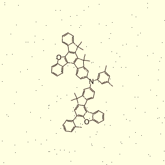 Cc1cc(C)cc(N(c2ccc3c(c2)C(C)(C)c2cc(-c4ccccc4C)c4oc5ccccc5c4c2-3)c2ccc3c(c2)C(C)(C)c2c4c(c5oc6ccccc6c5c2-3)-c2ccccc2C4(C)C)c1